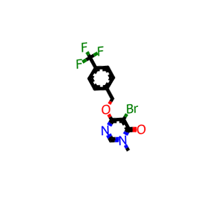 Cn1cnc(OCc2ccc(C(F)(F)F)cc2)c(Br)c1=O